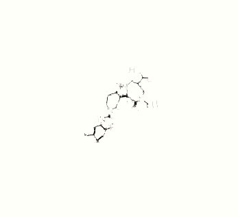 CCC(O)C1CN(C)C(=O)c2c3c(nn2C1)CCN(C(=O)Nc1cc(Cl)c(F)cc1F)C3